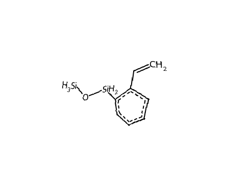 C=Cc1ccccc1[SiH2]O[SiH3]